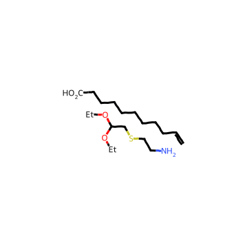 C=CCCCCCCCCC(=O)O.CCOC(CSCCN)OCC